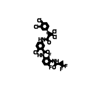 O=C(Nc1ccc(F)c(NC(=O)C2CC2(F)F)c1F)c1cc(NC(=O)C2[C@H](c3ccc(Cl)c(Cl)c3)C2(Cl)Cl)ccc1Cl